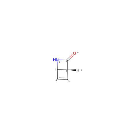 O=C1NC2C=C[C@@H]12